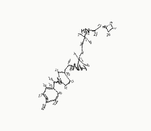 CC(C)(CCC(C)(C)NCC1CCN(Cc2ccccc2)C1)NCCN1CCC1